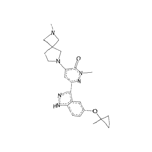 CN1CC2(CCN(c3cc(-c4n[nH]c5ccc(OC6(C)CC6)cc45)nn(C)c3=O)C2)C1